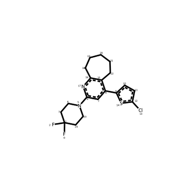 FC1(F)CCN(c2cc(-c3ccc(Cl)s3)c3c(n2)CCCCC3)CC1